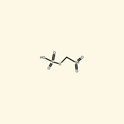 O=[SH](=O)COS(=O)(=O)O